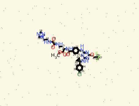 COC(=O)[C@H](CCNC(=O)C(=O)NCCn1cncn1)NC(=O)c1ccc(Nc2nc(NC3(c4ccc(Cl)cc4)CC3)nc(OCC(F)(F)F)n2)cc1